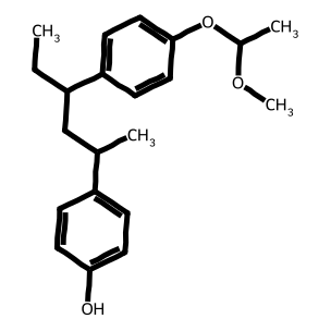 CCC(CC(C)c1ccc(O)cc1)c1ccc(OC(C)OC)cc1